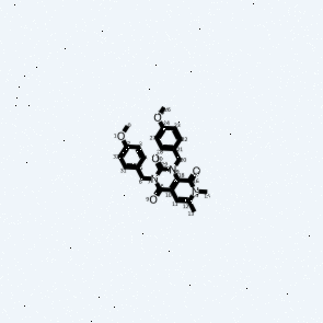 COc1ccc(Cn2c(=O)c3cc(C)n(C)c(=O)c3n(Cc3ccc(OC)cc3)c2=O)cc1